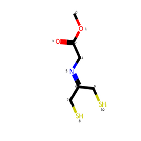 COC(=O)CN=C(CS)CS